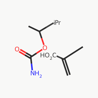 C=C(C)C(=O)O.CC(C)C(C)OC(N)=O